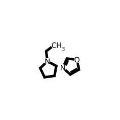 CCN1CCCC1.c1cocn1